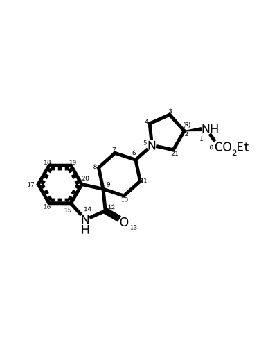 CCOC(=O)N[C@@H]1CCN(C2CCC3(CC2)C(=O)Nc2ccccc23)C1